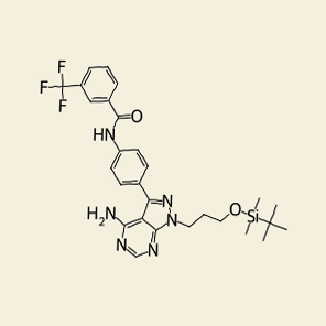 CC(C)(C)[Si](C)(C)OCCCn1nc(-c2ccc(NC(=O)c3cccc(C(F)(F)F)c3)cc2)c2c(N)ncnc21